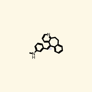 CNc1cccc(/C=C2/c3ccccc3CCc3ncccc32)c1